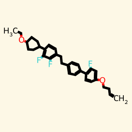 C=CCCOc1ccc(-c2ccc(CCc3ccc(C4CCC(OCC)CC4)c(F)c3F)cc2)c(F)c1